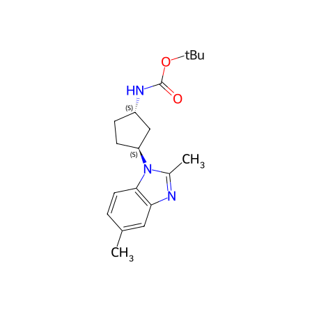 Cc1ccc2c(c1)nc(C)n2[C@H]1CC[C@H](NC(=O)OC(C)(C)C)C1